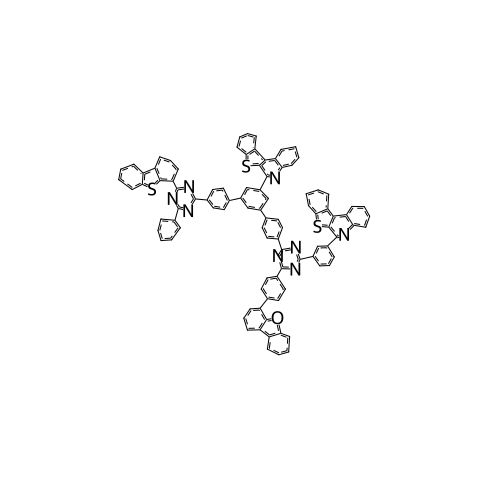 c1ccc(-c2nc(-c3ccc(-c4cc(-c5ccc(-c6nc(-c7ccc(-c8cccc9c8oc8ccccc89)cc7)nc(-c7cccc(-c8nc9ccccc9c9c8sc8ccccc89)c7)n6)cc5)cc(-c5nc6ccccc6c6c5sc5ccccc56)c4)cc3)nc(-c3cccc4c3sc3ccccc34)n2)cc1